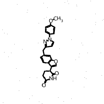 COc1ccc(-n2ccc(Cc3ccc4c(C5CCC(=O)NC5=O)coc4c3)n2)cc1